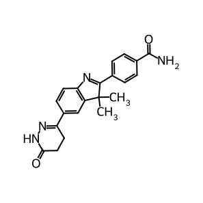 CC1(C)C(c2ccc(C(N)=O)cc2)=Nc2ccc(C3=NNC(=O)CC3)cc21